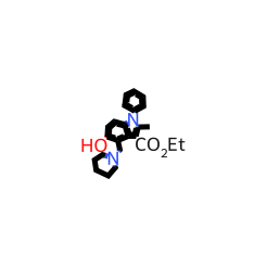 CCOC(=O)c1c(C)n(-c2ccccc2)c2ccc(O)c(CN3CCCCC3)c12